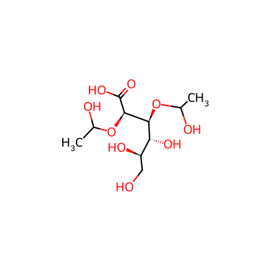 CC(O)O[C@@H]([C@H](O)[C@H](O)CO)[C@@H](OC(C)O)C(=O)O